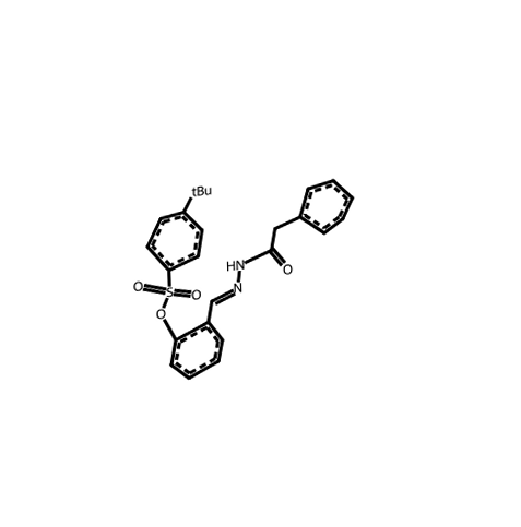 CC(C)(C)c1ccc(S(=O)(=O)Oc2ccccc2/C=N/NC(=O)Cc2ccccc2)cc1